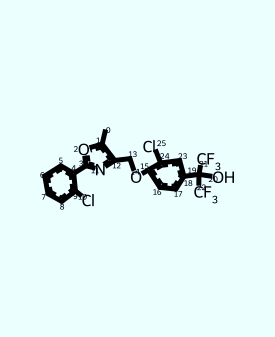 Cc1oc(-c2ccccc2Cl)nc1COc1ccc(C(O)(C(F)(F)F)C(F)(F)F)cc1Cl